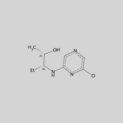 CC[C@@H](Nc1cncc(Cl)n1)[C@H](C)O